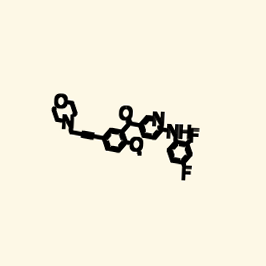 COc1ccc(C#CCN2CCOCC2)cc1C(=O)c1ccc(Nc2ccc(F)cc2F)nc1